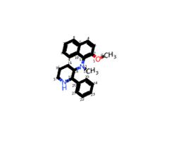 COc1ccc2ccccc2c1N(C)C1CCCNC1c1ccccc1